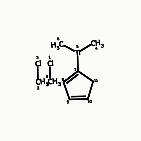 CCl.CCl.[CH3][Ti]([CH3])[C]1=CC=CC1